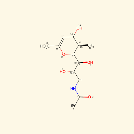 CC(C)C(=O)NC[C@H](O)[C@H](O)C1OC(C(=O)O)=CC(O)[C@H]1C